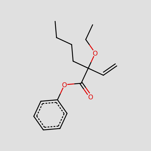 C=CC(CCCC)(OCC)C(=O)Oc1ccccc1